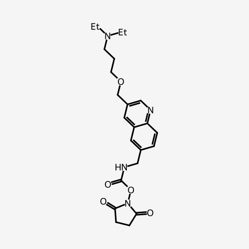 CCN(CC)CCCOCc1cnc2ccc(CNC(=O)ON3C(=O)CCC3=O)cc2c1